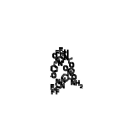 COc1ccc(Cn2ncc(N[C@@H](C)CO[C@@H]3CCN(C4CCN(c5ncc(C(F)(F)F)cn5)CC4C(N)=O)C3=O)c(C(F)(F)F)c2=O)cc1